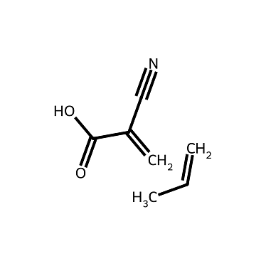 C=C(C#N)C(=O)O.C=CC